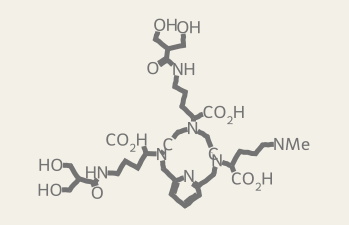 CNCCCC(C(=O)O)N1CCN(C(CCCNC(=O)C(CO)CO)C(=O)O)CCN(C(CCCNC(=O)C(CO)CO)C(=O)O)Cc2cccc(n2)C1